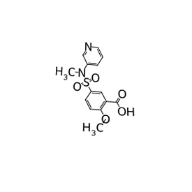 COc1ccc(S(=O)(=O)N(C)c2cccnc2)cc1C(=O)O